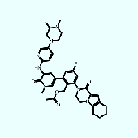 CC(=O)OCc1c(-c2cc(Nc3ccc(N4CCN(C)C(C)C4)cn3)c(=O)n(C)c2)cc(F)cc1N1CCn2c(cc3c2CCCC3)C1=O